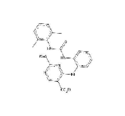 CCOC(=O)c1cnc(SC)nc1Nc1ccccc1NC(=O)Nc1c(C)cccc1C